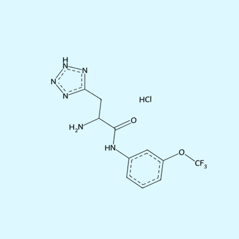 Cl.NC(Cc1nn[nH]n1)C(=O)Nc1cccc(OC(F)(F)F)c1